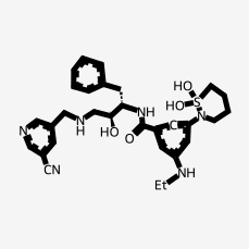 CCNc1cc(C(=O)N[C@@H](Cc2ccccc2)[C@@H](O)CNCc2cncc(C#N)c2)cc(N2CCCCS2(O)O)c1